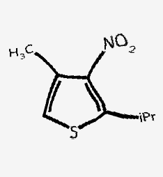 Cc1csc(C(C)C)c1[N+](=O)[O-]